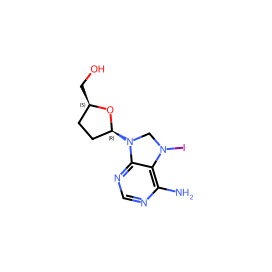 Nc1ncnc2c1N(I)CN2[C@H]1CC[C@@H](CO)O1